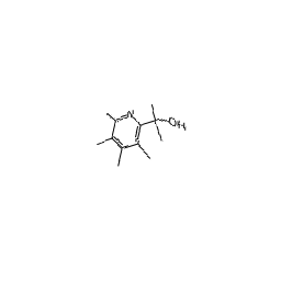 Cc1nc(C(C)(C)O)c(C)c(C)c1C